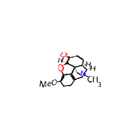 COC1=C2O[C@H]3C(=O)C=C[C@H]4[C@H]5CC(=C2[C@@]34CCN5C)CC1